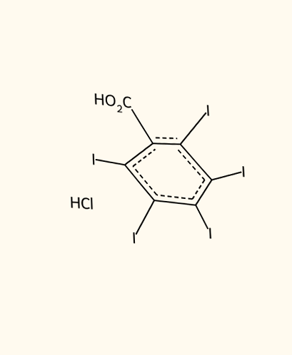 Cl.O=C(O)c1c(I)c(I)c(I)c(I)c1I